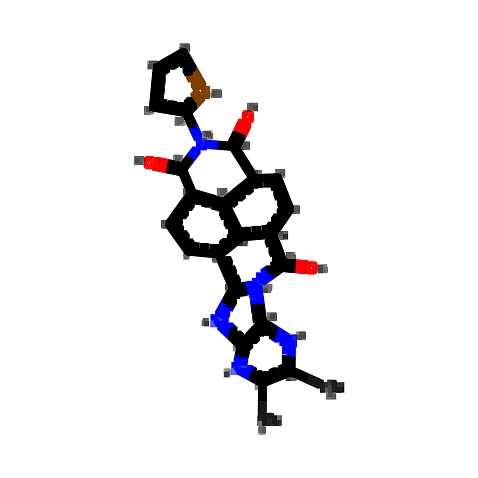 CCCCc1nc2nc3c4ccc5c6c(ccc(c(=O)n3c2nc1CCCC)c64)C(=O)N(c1cccs1)C5=O